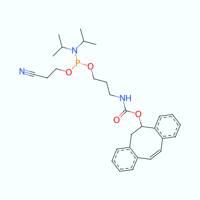 CC(C)N(C(C)C)P(OCCC#N)OCCCNC(=O)OC1Cc2ccccc2/C=C\c2ccccc21